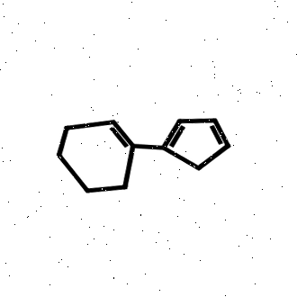 [C]1=C(C2=CC=CC2)CCCC1